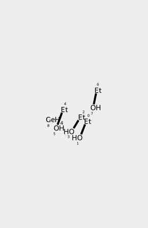 CCO.CCO.CCO.CCO.[GeH4]